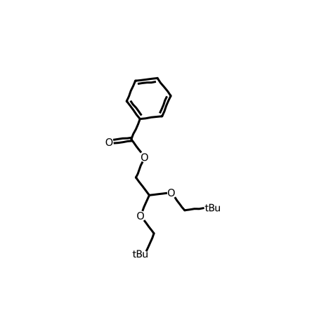 CC(C)(C)COC(COC(=O)c1ccccc1)OCC(C)(C)C